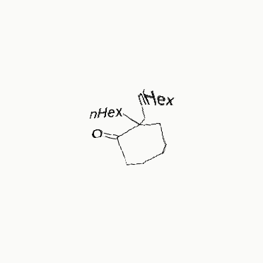 CCCCCCC1(CCCCCC)CCCCC1=O